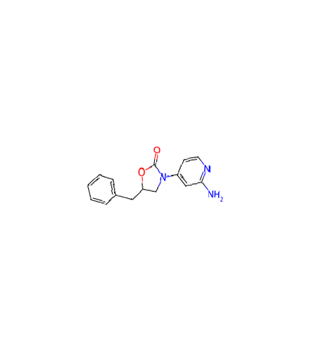 Nc1cc(N2CC(Cc3ccccc3)OC2=O)ccn1